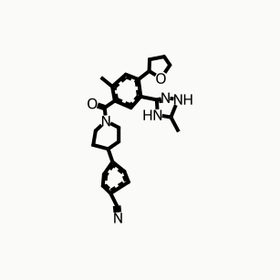 Cc1cc(C2CCCO2)c(C2=NNC(C)N2)cc1C(=O)N1CCC(c2ccc(C#N)cc2)CC1